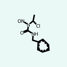 CC(Cl)N(N=O)C(=O)NCc1ccccc1